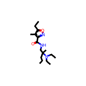 CCCC(C)(CNC(=O)c1noc(CC)c1C)N(CC)CC